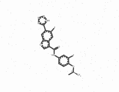 C[C@@H](Oc1ccc(NC(=O)c2coc3cc(-c4nnn[nH]4)c(F)cc23)cc1F)C(F)(F)F